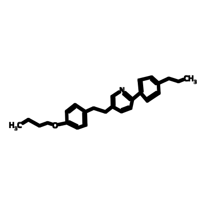 CCCCOc1ccc(CCc2ccc(-c3ccc(CCC)cc3)nc2)cc1